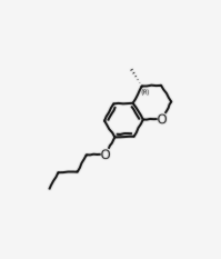 CCCCOc1ccc2c(c1)OCC[C@H]2C